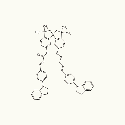 CC1(C)CC2(CC(C)(C)c3ccc(OC(=O)/C=C/c4ccc(N5CCc6ccccc65)cc4)cc32)c2cc(OOC/C=C/c3ccc(N4CCc5ccccc54)cc3)ccc21